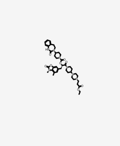 CCOC(=O)CCN1CCN(C2CCN(C(=O)[C@@H](Cc3cc(C)c4c(c3)oc(=O)n4C)OC(=O)N3CCC(N4CCc5ccccc5NC4=O)CC3)CC2)CC1